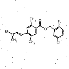 CCN(C)/C=N/c1cc(C)c(C(=O)OCc2cc(Cl)ccc2F)cc1C